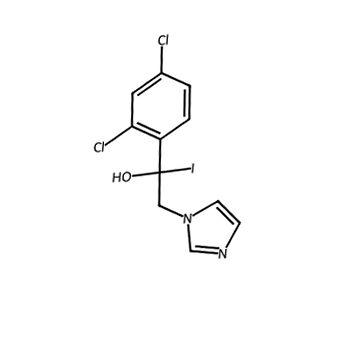 OC(I)(Cn1ccnc1)c1ccc(Cl)cc1Cl